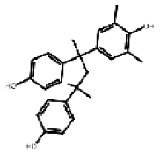 Cc1cc(C(C)(CC(C)(C)c2ccc(O)cc2)c2ccc(O)cc2)cc(C)c1O